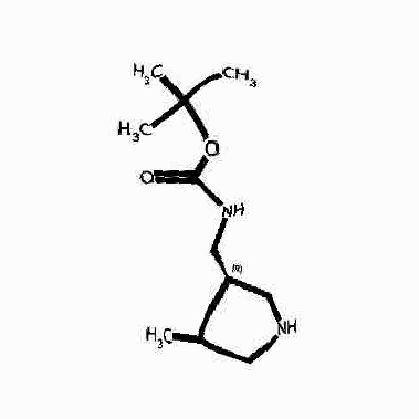 CC1CNC[C@@H]1CNC(=O)OC(C)(C)C